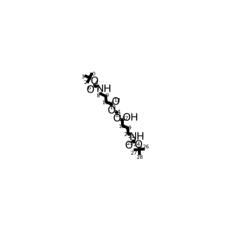 CC(C)(C)OC(=O)NCCCC(=O)OCOC(O)CCCNC(=O)OC(C)(C)C